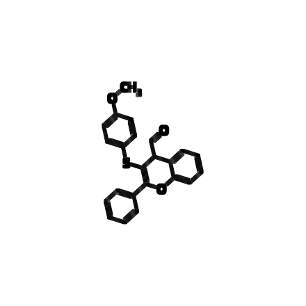 COc1ccc(SC2=C(c3ccccc3)Oc3ccccc3C2C=O)cc1